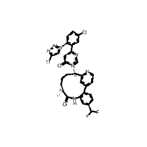 C[C@@H]1CCC[C@H](n2cnc(-c3cc(Cl)ccc3-n3cc(Cl)nn3)cc2=O)c2cc(ccn2)-c2ccc(C(F)F)cc2NC1=O